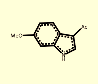 COc1ccc2c(C(C)=O)c[nH]c2c1